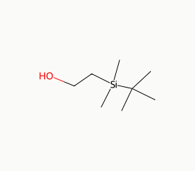 CC(C)(C)[Si](C)(C)CCO